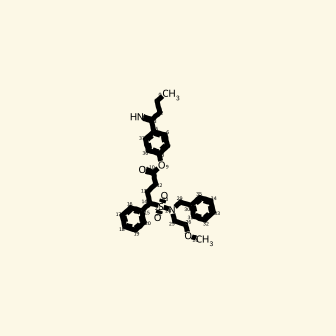 CCCC(=N)c1ccc(OC(=O)CCC(c2ccccc2)S(=O)(=O)N(CCOC)Cc2ccccc2)cc1